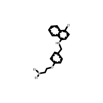 CCN(CC)CCOc1ccc(CNc2ccc(Cl)c3ccccc23)cc1